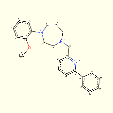 COc1ccccc1N1CCCN(Cc2cccc(-c3ccccc3)n2)CC1